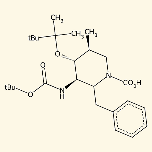 C[C@H]1CN(C(=O)O)C(Cc2ccccc2)[C@@H](NC(=O)OC(C)(C)C)[C@@H]1OC(C)(C)C(C)(C)C